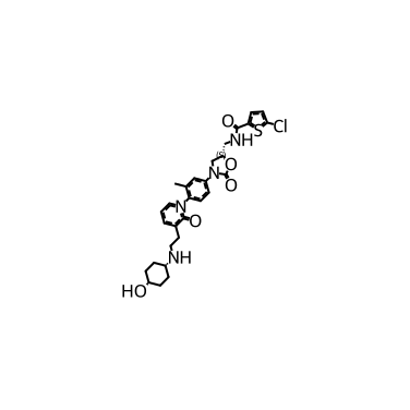 Cc1cc(N2C[C@H](CNC(=O)c3ccc(Cl)s3)OC2=O)ccc1-n1cccc(CCN[C@H]2CC[C@H](O)CC2)c1=O